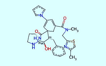 Cc1csc(CN(C)C(=O)C2=CC(n3cccc3)=CC(C(N)=O)([C@H](Cc3ccccc3)[C@@H](O)[C@H]3CCCN3)C2)n1